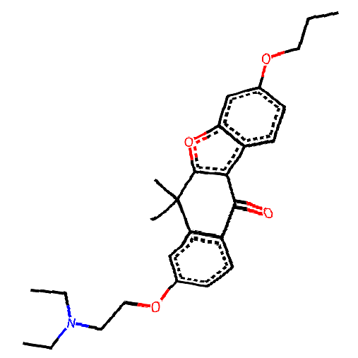 CCCOc1ccc2c3c(oc2c1)C(C)(C)c1cc(OCCN(CC)CC)ccc1C3=O